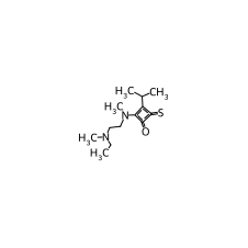 CCN(C)CCN(C)c1c(C(C)C)c(=S)c1=O